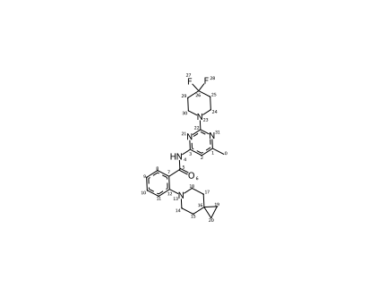 Cc1cc(NC(=O)c2ccccc2N2CCC3(CC2)CC3)nc(N2CCC(F)(F)CC2)n1